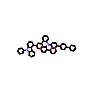 c1ccc(-c2ccc(-c3ccc(N(c4ccccc4-c4ccccc4)c4ccccc4-c4cccc(-c5cccc6c5c5ccccc5n6-c5ccccc5)c4)cc3)cc2)cc1